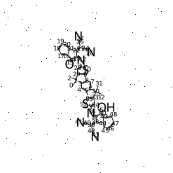 CC1(C)c2cc3c(cc2-c2sc(/N=C4\C(=O)c5ccccc5C4=C(C#N)C#N)cc21)C(C)(C)c1cc(/N=C2/C(=C(C#N)C#N)c4ccccc4C2O)sc1-3